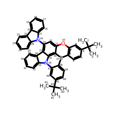 CC(C)(C)c1ccc2c(c1)Oc1cc(-n3c4ccccc4c4ccccc43)c3c4ccccc4n4c3c1B2c1ccc(C(C)(C)C)cc1-4